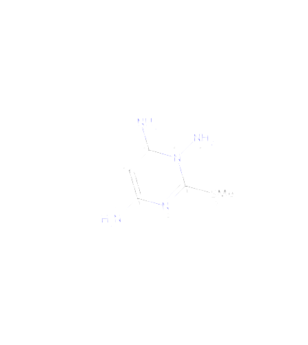 CSC1=NC(N)=CC(N)N1N